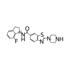 O=C(N[C@H]1CCc2cccc(F)c21)c1ccc2nc(N3CCNCC3)sc2c1